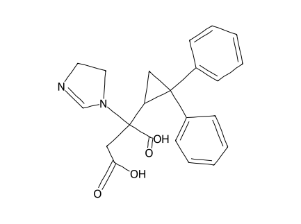 O=C(O)CC(C(=O)O)(C1CC1(c1ccccc1)c1ccccc1)N1C=NCC1